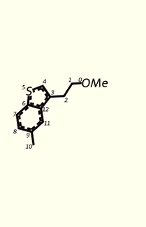 [CH2]OCCc1csc2ccc(C)cc12